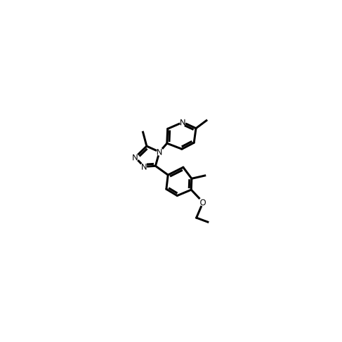 CCOc1ccc(-c2nnc(C)n2-c2ccc(C)nc2)cc1C